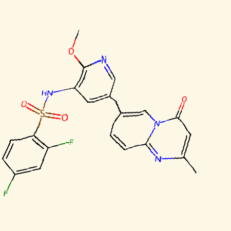 COc1ncc(-c2ccc3nc(C)cc(=O)n3c2)cc1NS(=O)(=O)c1ccc(F)cc1F